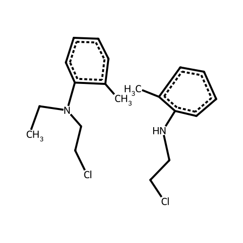 CCN(CCCl)c1ccccc1C.Cc1ccccc1NCCCl